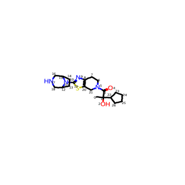 CC(O)(C(=O)N1CCc2nc(N3C4CCC3CNC4)sc2C1)C1CCCC1